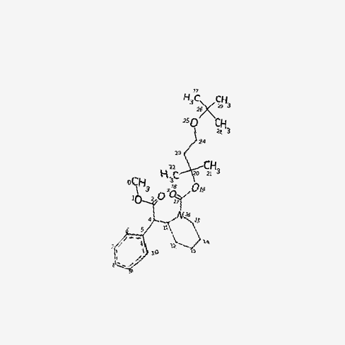 COC(=O)C(c1ccccc1)C1CCCCN1C(=O)OC(C)(C)CCOC(C)(C)C